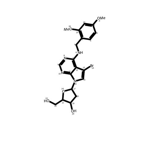 COc1ccc(CNc2ncnc3c2c(Br)cn3C2CC(O)C(CO)O2)c(OC)c1